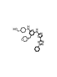 OC[C@H]1CC[C@H](Nc2cc(CN3CCOCC3)cc(Nc3ncc(-c4nnn(-c5ccccc5)n4)s3)n2)CC1